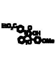 CCOC(=O)c1ccc(N2C(=O)C(O)=C(C(=O)c3ccc(OC)cc3)C2c2ccccc2F)cc1